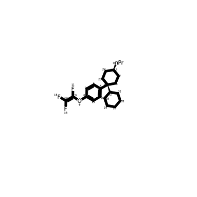 CCC[C@H]1CC[C@@](c2ccc(OC(F)=C(F)F)cc2)(C2CCCCC2)CC1